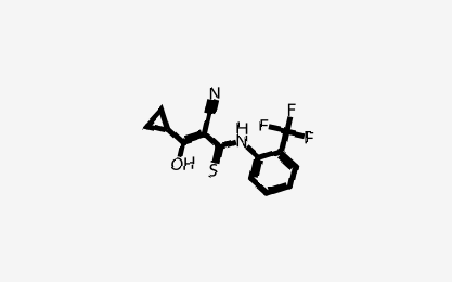 N#C/C(C(=S)Nc1ccccc1C(F)(F)F)=C(/O)C1CC1